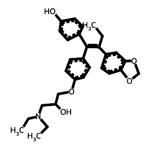 CC/C(=C(\c1ccc(O)cc1)c1ccc(OCC(O)CN(CC)CC)cc1)c1ccc2c(c1)OCO2